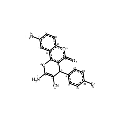 N#CC1=C(N)Oc2c(c(=O)oc3ccc(N)cc23)C1c1ccc(Br)cc1